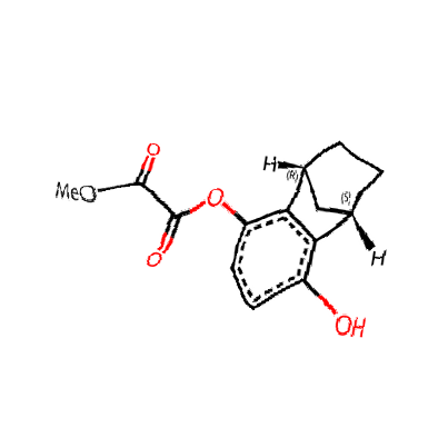 COC(=O)C(=O)Oc1ccc(O)c2c1[C@@H]1CC[C@H]2C1